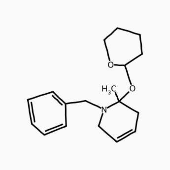 CC1(OC2CCCCO2)CC=CCN1Cc1ccccc1